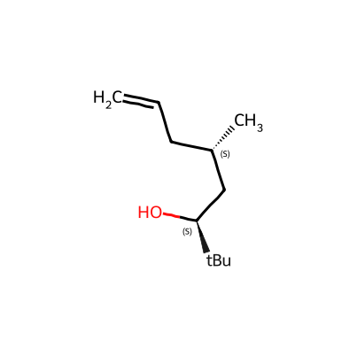 [CH2]C(C)(C)[C@@H](O)C[C@@H](C)CC=C